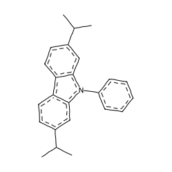 CC(C)c1ccc2c3ccc(C(C)C)cc3n(-c3ccccc3)c2c1